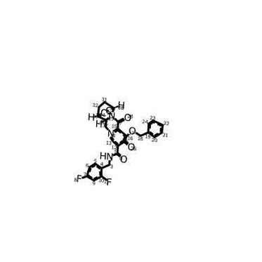 O=C(NCc1ccc(F)cc1F)c1cn2c(c(OCc3ccccc3)c1=O)C(=O)N1[C@H]3CC[C@H](CC3)[C@@H]1C2